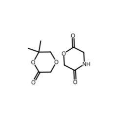 CC1(C)COCC(=O)O1.O=C1COC(=O)CN1